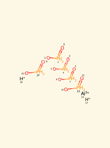 O=[PH2][O-].O=[PH2][O-].O=[PH2][O-].O=[PH2][O-].O=[PH2][O-].[Al+3].[H+].[H+]